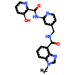 Cn1cnc2c(C(=O)NCc3ccnc(NC(=O)c4ncccc4O)c3)cccc21